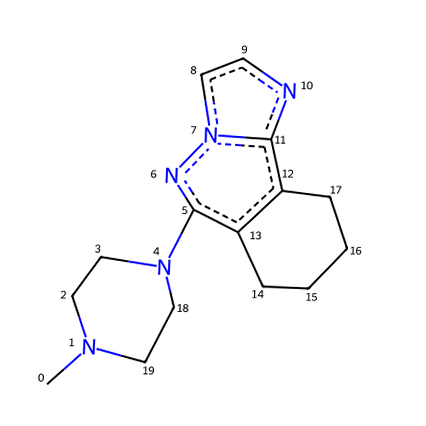 CN1CCN(c2nn3ccnc3c3c2CCCC3)CC1